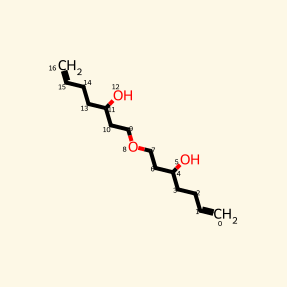 C=CCCC(O)CCOCCC(O)CCC=C